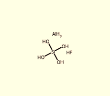 F.O[Si](O)(O)O.[AlH3]